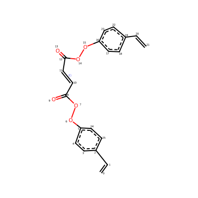 C=Cc1ccc(OOC(=O)/C=C/C(=O)OOc2ccc(C=C)cc2)cc1